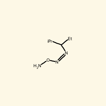 CCC(/N=N\ON)C(C)C